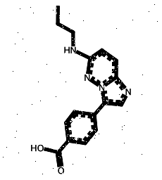 CCCNc1ccc2ncc(-c3ccc(C(=O)O)cc3)n2n1